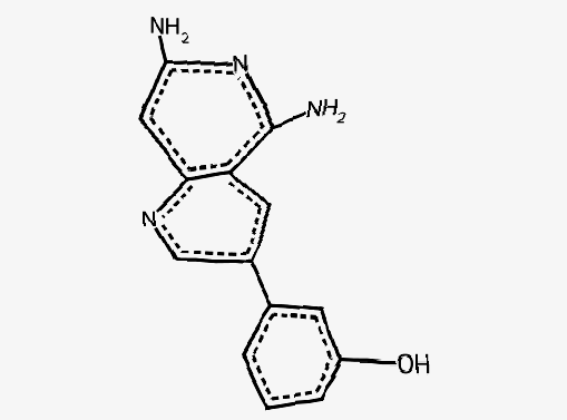 Nc1cc2ncc(-c3cccc(O)c3)cc2c(N)n1